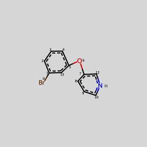 Brc1cc[c]c(Oc2cccnc2)c1